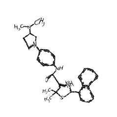 CN(C)C1CCN(c2ccc(NC(=O)C3NC(c4cccc5ccccc45)SC3(C)C)cc2)C1